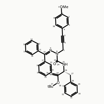 COc1ccc(C#CCN(N=C(c2ccccc2)c2ccccc2)C(=O)N[C@H](Cc2ccccc2)C(=O)OC(C)(C)C)cc1